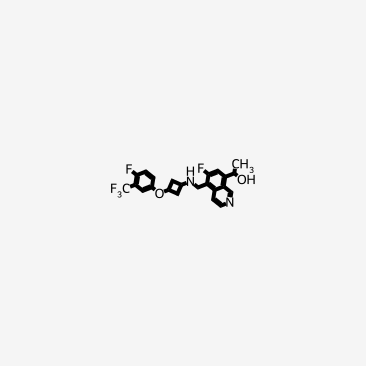 CC(O)c1cc(F)c(CNC2CC(Oc3ccc(F)c(C(F)(F)F)c3)C2)c2ccncc12